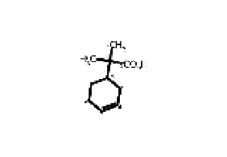 CC(C)(C(=O)O)C1CC=CCC1